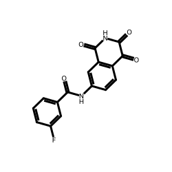 O=C1NC(=O)c2cc(NC(=O)c3cccc(F)c3)ccc2C1=O